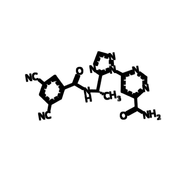 C[C@H](NC(=O)c1cc(C#N)cc(C#N)c1)c1ncnn1-c1cc(C(N)=O)ncn1